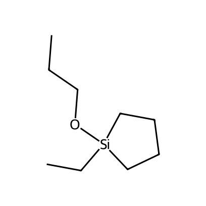 CCCO[Si]1(CC)CCCC1